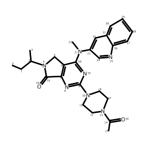 CCC(C)N1Cc2c(nc(N3CCN(C(C)=O)CC3)nc2N(C)c2cnc3ccccc3c2)C1=O